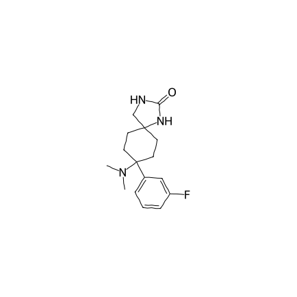 CN(C)C1(c2cccc(F)c2)CCC2(CC1)CNC(=O)N2